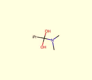 CC(C)C(O)(O)N(C)C